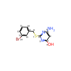 Nc1cc(O)nc(SCc2cccc(Br)c2)n1